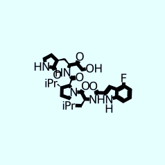 CC(C)C[C@H](NC(=O)c1cc2c(F)cccc2[nH]1)C(=O)N1CC[C@H](C(C)C)[C@H]1C(=O)N[C@@H](C[C@@H]1CCNC1=O)C(=O)CO